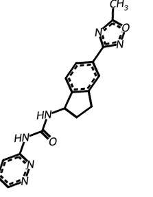 Cc1nc(-c2ccc3c(c2)CCC3NC(=O)Nc2cccnn2)no1